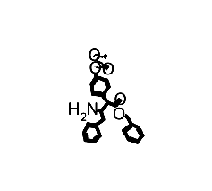 CS(=O)(=O)Oc1ccc(C(C(=O)OCc2ccccc2)C(N)Cc2ccccc2)cc1